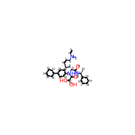 C=CN(C)C/C=C\CC[C@H](C(=O)N[C@@H](C)c1ccccc1)N(C(=O)C(O)O)c1ccc(-c2ccccc2)cc1